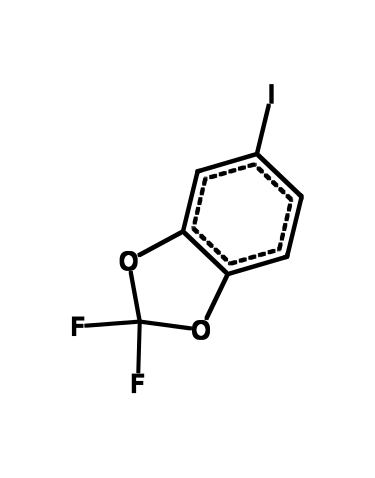 FC1(F)Oc2ccc(I)cc2O1